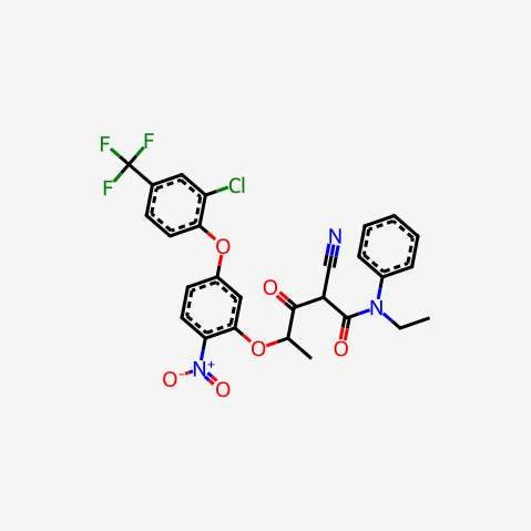 CCN(C(=O)C(C#N)C(=O)C(C)Oc1cc(Oc2ccc(C(F)(F)F)cc2Cl)ccc1[N+](=O)[O-])c1ccccc1